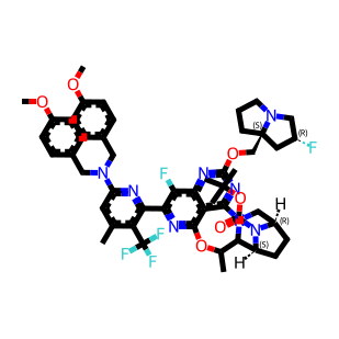 COc1ccc(CN(Cc2ccc(OC)cc2)c2cc(C)c(C(F)(F)F)c(-c3nc4c5c(nc(OC[C@@]67CCCN6C[C@H](F)C7)nc5c3F)N3C[C@H]5CC[C@@H](C3C(C)O4)N5C(=O)OC(C)(C)C)n2)cc1